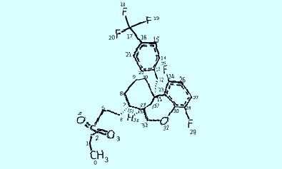 CCS(=O)(=O)CC[C@@H]1CCC[C@@]2(Cc3ccc(C(F)(F)F)cc3)c3c(F)ccc(F)c3OC[C@@H]12